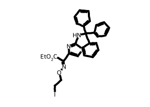 CCOC(=O)/C(=N\OCCI)c1csc(NC(c2ccccc2)(c2ccccc2)c2ccccc2)n1